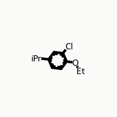 CCOc1ccc(C(C)C)cc1Cl